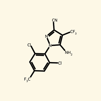 N#Cc1nn(-c2c(Cl)cc(C(F)(F)F)cc2Cl)c(N)c1C(F)(F)F